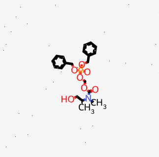 C[C@@H](CO)N(C)C(=O)OCOP(=O)(OCc1ccccc1)OCc1ccccc1